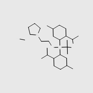 CC1CCC(C(C)C)C([Si](OCCN2CCC[C@H]2CO)(C2CC(C)CCC2C(C)C)C(C)(C)C)C1